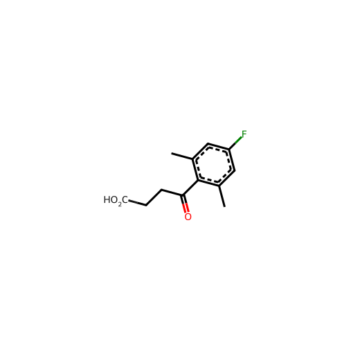 Cc1cc(F)cc(C)c1C(=O)CCC(=O)O